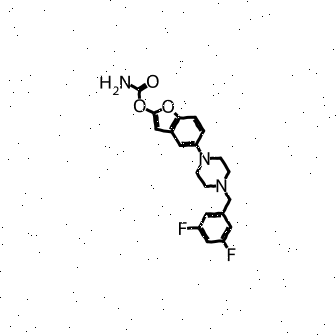 NC(=O)Oc1cc2cc(N3CCN(Cc4cc(F)cc(F)c4)CC3)ccc2o1